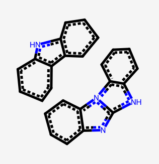 c1ccc2c(c1)[nH]c1ccccc12.c1ccc2c(c1)nc1[nH]c3ccccc3n12